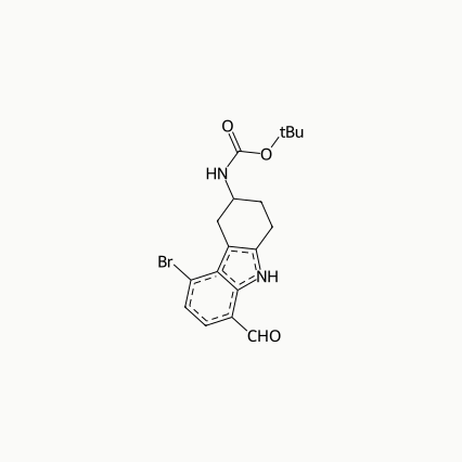 CC(C)(C)OC(=O)NC1CCc2[nH]c3c(C=O)ccc(Br)c3c2C1